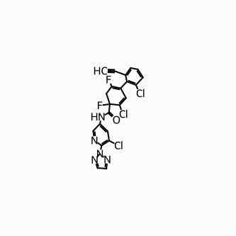 C#Cc1cccc(Cl)c1C1=C(F)CC(F)(C(=O)Nc2cnc(-n3nccn3)c(Cl)c2)C(Cl)=C1